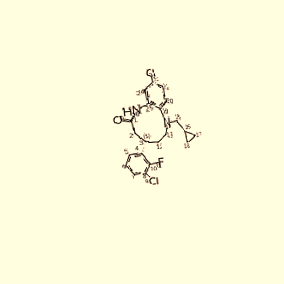 O=C1C[C@@H](c2cccc(Cl)c2F)CCN(CC2CC2)c2ccc(Cl)cc2N1